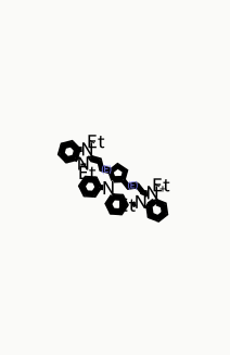 CCN1C(=C/C=C2\CCC(/C=C/c3n(CC)c4ccccc4[n+]3CC)=C2N(c2ccccc2)c2ccccc2)N(CC)c2ccccc21